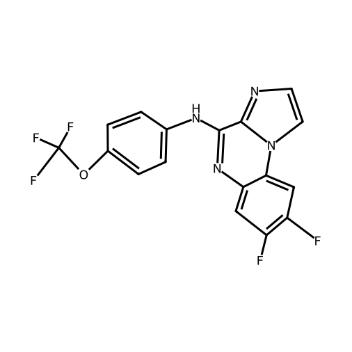 Fc1cc2nc(Nc3ccc(OC(F)(F)F)cc3)c3nccn3c2cc1F